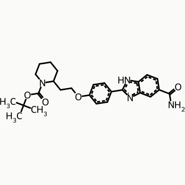 CC(C)(C)OC(=O)N1CCCCC1CCOc1ccc(-c2nc3cc(C(N)=O)ccc3[nH]2)cc1